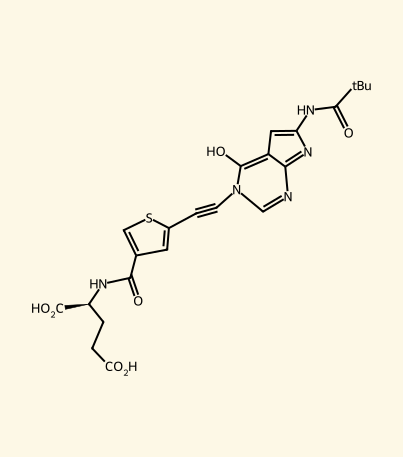 CC(C)(C)C(=O)Nc1cc2c(O)n(C#Cc3cc(C(=O)N[C@@H](CCC(=O)O)C(=O)O)cs3)cnc-2n1